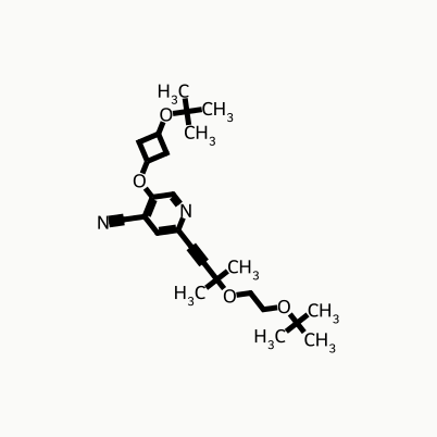 CC(C)(C)OCCOC(C)(C)C#Cc1cc(C#N)c(OC2CC(OC(C)(C)C)C2)cn1